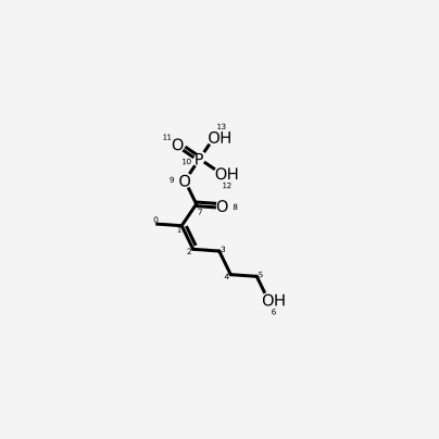 CC(=CCCCO)C(=O)OP(=O)(O)O